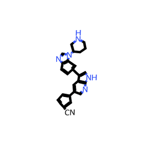 N#Cc1cccc(-c2cnc3[nH]cc(-c4ccc5ncn(C6CCCNC6)c5c4)c3c2)c1